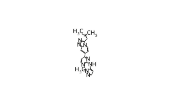 CC[C@@H](C)Cc1nnc2cc(-c3ccnc(Nc4ccnn4C)n3)ccn12